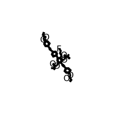 C=CC(=O)Oc1ccc(C#Cc2ccc(-c3cc(OC(=O)C(=C)C)c(C#Cc4ccc(OC(=O)C=C)cc4)c(OC(=O)C(=C)C)c3CCCF)cc2)cc1